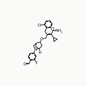 NC/C(=C(/COC1C[C@H]2CC1CN2c1ccc(C=O)c(F)c1)Cc1c(Cl)cccc1Cl)C1CC1